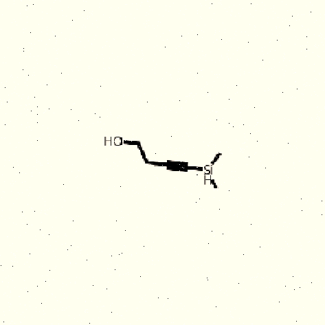 C[SiH](C)C#CCCO